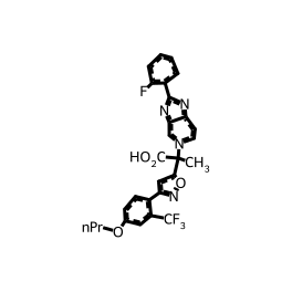 CCCOc1ccc(-c2cc(C(C)(C(=O)O)n3ccc4nc(-c5ccccc5F)nc-4c3)on2)c(C(F)(F)F)c1